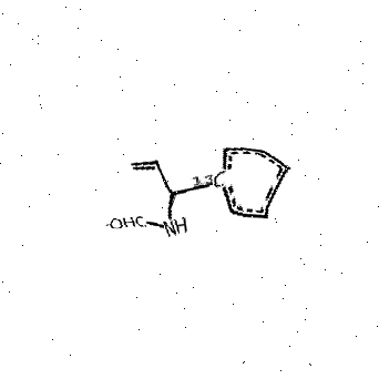 C=CC(N[C]=O)[13c]1ccccc1